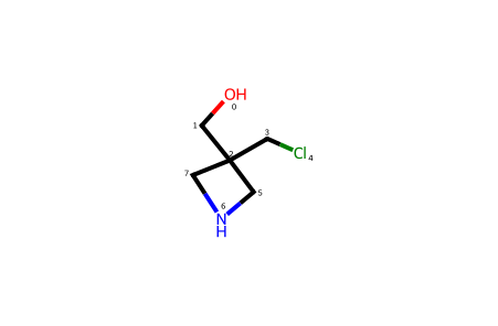 OCC1(CCl)CNC1